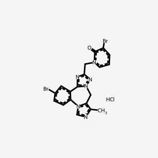 Cc1ncn2c1Cn1nc(Cn3cccc(Br)c3=O)nc1-c1cc(Br)ccc1-2.Cl